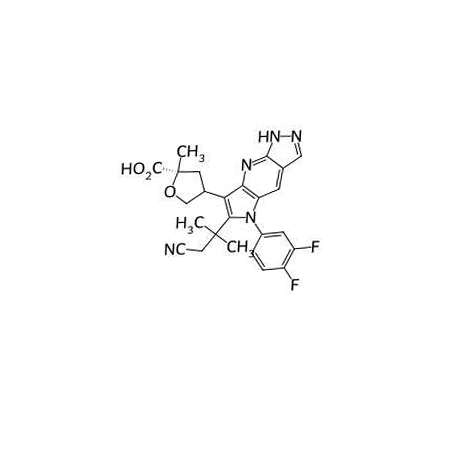 CC(C)(CC#N)c1c(C2CO[C@](C)(C(=O)O)C2)c2nc3[nH]ncc3cc2n1-c1ccc(F)c(F)c1